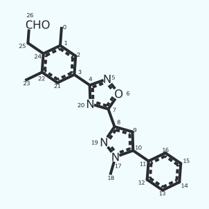 Cc1cc(-c2noc(-c3cc(-c4ccccc4)n(C)n3)n2)cc(C)c1CC=O